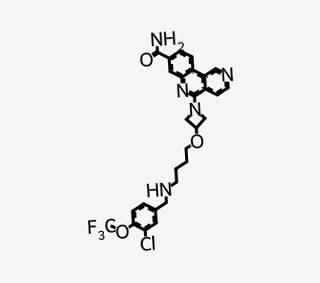 NC(=O)c1ccc2c(c1)nc(N1CC(OCCCCNCc3ccc(OC(F)(F)F)c(Cl)c3)C1)c1ccncc12